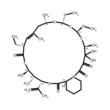 C=C(C)[C@H]1OC(=O)[C@@H]2CCCCN2C(=O)C(=O)C(O)(O)[C@H](C)C[C@H](OC)C[C@@H](OC)C[C@@H](C)C/C(C)=C/[C@@H](CC)C(=O)C[C@H](O)[C@H]1C